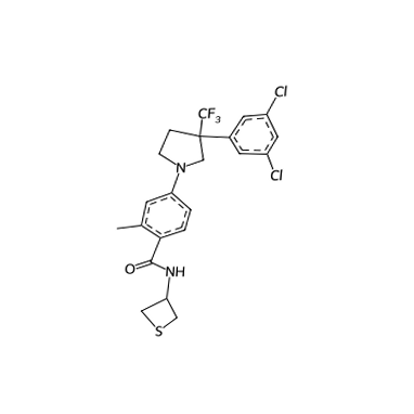 Cc1cc(N2CCC(c3cc(Cl)cc(Cl)c3)(C(F)(F)F)C2)ccc1C(=O)NC1CSC1